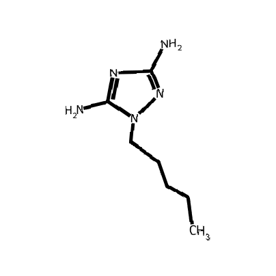 CCCCCn1nc(N)nc1N